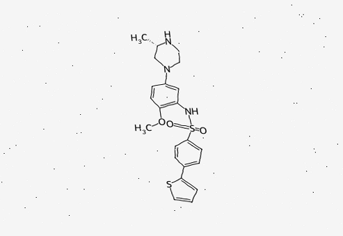 COc1ccc(N2CCN[C@@H](C)C2)cc1NS(=O)(=O)c1ccc(-c2cccs2)cc1